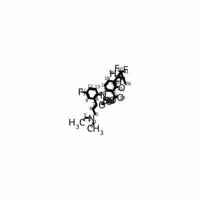 CCN(CC)CC=Cc1cc(F)ccc1N(c1ccc2c(c1C(=O)O)OC[C@H]1[C@@H]2C1(F)F)[SH](=O)=O